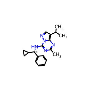 Cc1nc(N[C@H](c2ccccc2)C2CC2)n2ncc(C(C)C)c2n1